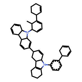 CC1C(C2C=CCCC2)=CC=CC1N1C2C=CC=CC2C2C=CC(C3C=CC4C(C3)C3=C(CCCC3)N4c3cccc(C4C=CC=CC4)c3)=CC21